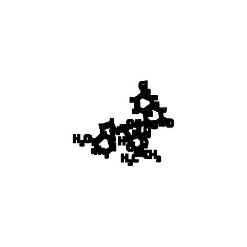 Cc1ncnc2c1ccn2[C@@H]1OC([C@@H]2OC(=O)Cc3cc(Cl)ccc32)[C@H]2OC(C)(C)O[C@H]21